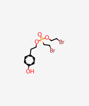 O=P(CCBr)(OCCBr)OCCc1ccc(O)cc1